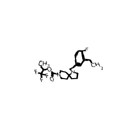 CCc1cc(CN2CCCC23CCN(C(=O)OC(C)C(F)(F)F)CC3)ccc1F